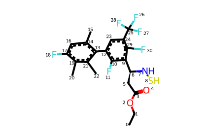 CCOC(=O)C[C@H](NS)c1c(F)c(-c2c(C)cc(F)c(C)c2C)cc(C(F)(F)F)c1F